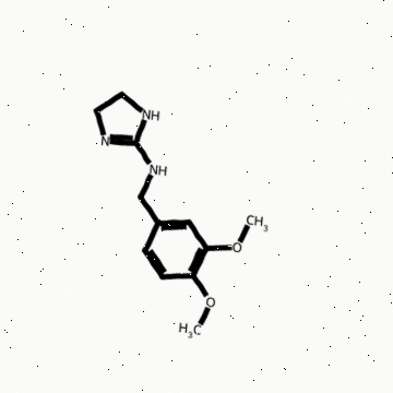 COc1ccc(CNC2=NCCN2)cc1OC